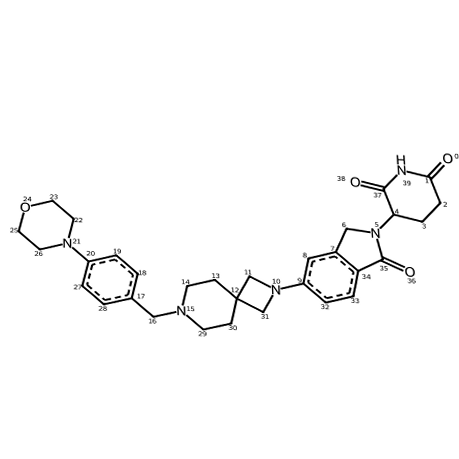 O=C1CCC(N2Cc3cc(N4CC5(CCN(Cc6ccc(N7CCOCC7)cc6)CC5)C4)ccc3C2=O)C(=O)N1